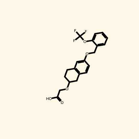 O=C(O)COC1CCc2cc(OCc3ccccc3OC(F)(F)F)ccc2C1